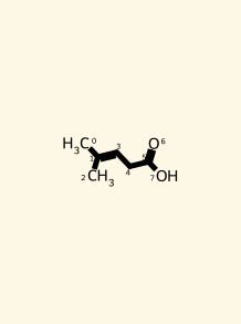 CC(C)=CCC(=O)O